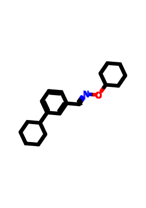 [C](=N\OC1CCCCC1)/c1cccc(C2CCCCC2)c1